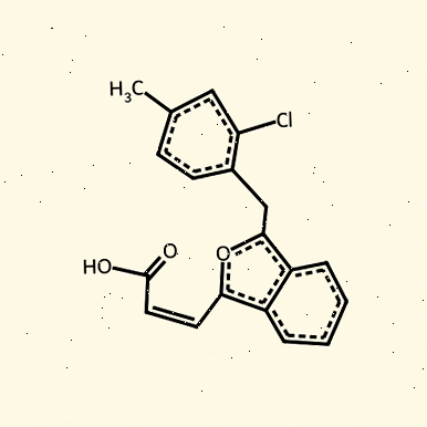 Cc1ccc(Cc2oc(/C=C\C(=O)O)c3ccccc23)c(Cl)c1